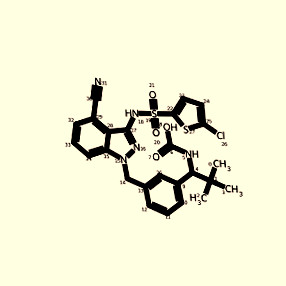 CC(C)(C)C(NC(=O)O)c1cccc(Cn2nc(NS(=O)(=O)c3ccc(Cl)s3)c3c(C#N)cccc32)c1